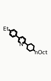 CCCCCCCCC1CCC(c2ccc(-c3ccc(CC)cc3)cn2)CC1